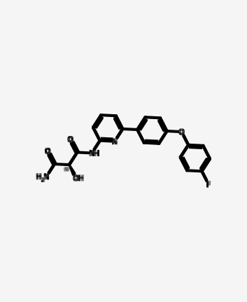 NC(=O)[C@H](O)C(=O)Nc1cccc(-c2ccc(Oc3ccc(F)cc3)cc2)n1